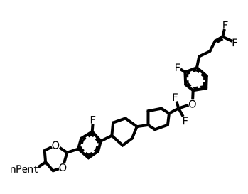 CCCCCC1COC(c2ccc(C3CCC(C4CCC(C(F)(F)Oc5ccc(CCC=C(F)F)c(F)c5)CC4)CC3)c(F)c2)OC1